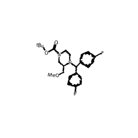 COCC1CN(C(=O)OC(C)(C)C)CCN1C(c1ccc(F)cc1)c1ccc(F)cc1